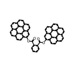 O=C(Oc1cc2ccc3ccc4ccc5ccc6ccc1c1c6c5c4c3c21)c1ccccc1C(=O)Oc1cc2ccc3ccc4ccc5ccc6ccc1c1c6c5c4c3c21